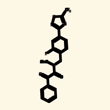 CON(Cc1ccc(-c2noc(C(F)(F)F)n2)cc1F)C(=O)C(=O)c1ccccc1